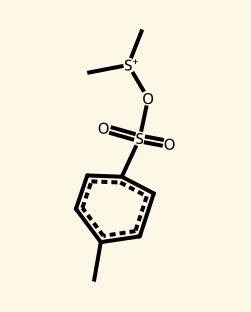 Cc1ccc(S(=O)(=O)O[S+](C)C)cc1